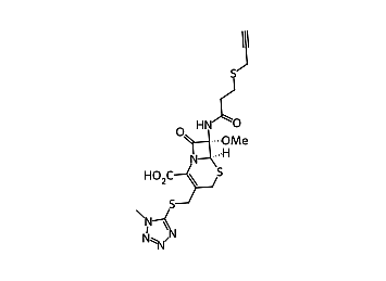 C#CCSCCC(=O)N[C@]1(OC)C(=O)N2C(C(=O)O)=C(CSc3nnnn3C)CS[C@@H]21